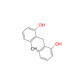 Cc1cccc(O)c1Cc1ccccc1O